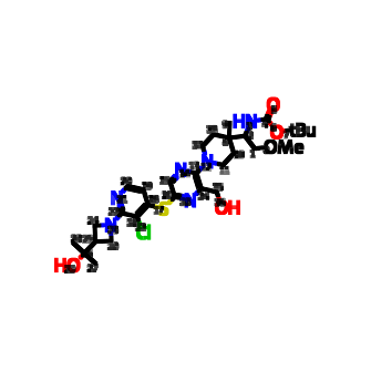 COCC(NC(=O)OC(C)(C)C)C1(C)CCN(c2ncc(Sc3ccnc(N4CC(C(C)(C)O)C4)c3Cl)nc2CO)CC1